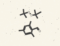 CC(C)(C)OOC(C)(C)C.Cc1cc(C)c([C]=O)c(C)c1